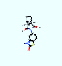 Cn1c(=O)sc2ccc(N3C(=O)[C@@H]4C5C=CC(C5)[C@@H]4C3=O)cc21